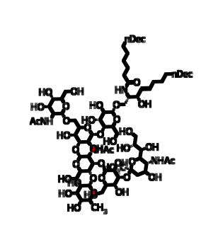 CCCCCCCCCCCCC/C=C/[C@@H](O)[C@H](CO[C@@H]1OC(CO)[C@@H](O[C@@H]2OC(CO[C@@H]3OC(CO)[C@@H](O)[C@H](O)C3NC(C)=O)[C@H](O)[C@H](O[C@@H]3OC(CO)[C@@H](O[C@H]4OC(C)[C@@H](O)C(O)[C@@H]4O)[C@H](O[C@@H]4OC(CO)[C@H](O)[C@H](O[C@]5(C(=O)O)CC(O)[C@@H](NC(C)=O)C([C@H](O)[C@H](O)CO)O5)C4O)C3NC(C)=O)C2O)[C@H](O)C1O)NC(=O)CCCCCCCCCCCCCCC